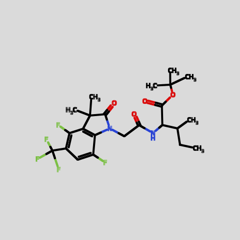 CCC(C)C(NC(=O)CN1C(=O)C(C)(C)c2c(F)c(C(F)(F)F)cc(F)c21)C(=O)OC(C)(C)C